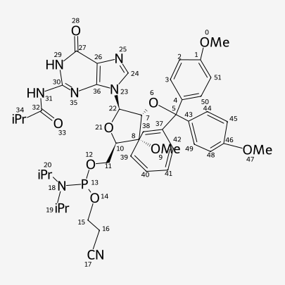 COc1ccc(C(O[C@@H]2[C@H](OC)[C@@H](COP(OCCC#N)N(C(C)C)C(C)C)O[C@H]2n2cnc3c(=O)[nH]c(NC(=O)C(C)C)nc32)(c2ccccc2)c2ccc(OC)cc2)cc1